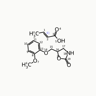 C/C=C/C(=O)O.COc1ccccc1OCC1CNC(=O)O1